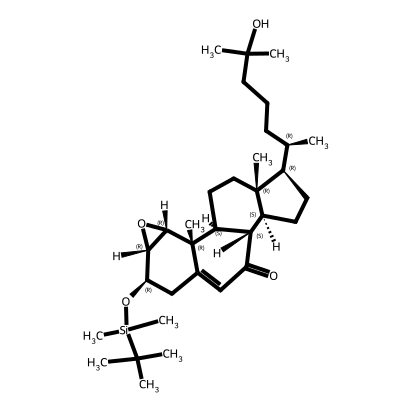 C[C@H](CCCC(C)(C)O)[C@H]1CC[C@H]2[C@@H]3C(=O)C=C4C[C@@H](O[Si](C)(C)C(C)(C)C)[C@@H]5O[C@@H]5[C@]4(C)[C@H]3CC[C@]12C